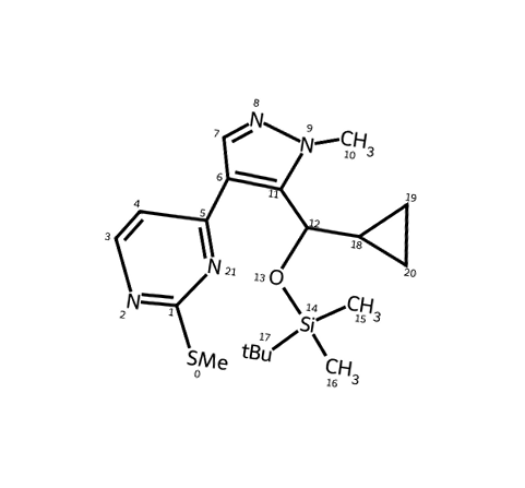 CSc1nccc(-c2cnn(C)c2C(O[Si](C)(C)C(C)(C)C)C2CC2)n1